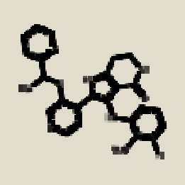 COc1c(Cl)cccc1Nc1c(-c2ccncc2OC(C)c2ccccn2)[nH]c2c1C(=O)NCC2